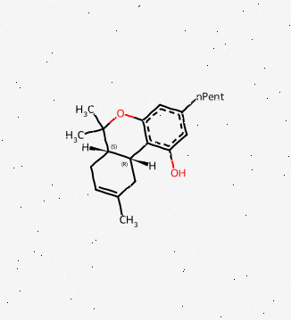 CCCCCc1cc(O)c2c(c1)OC(C)(C)[C@H]1CC=C(C)C[C@@H]21